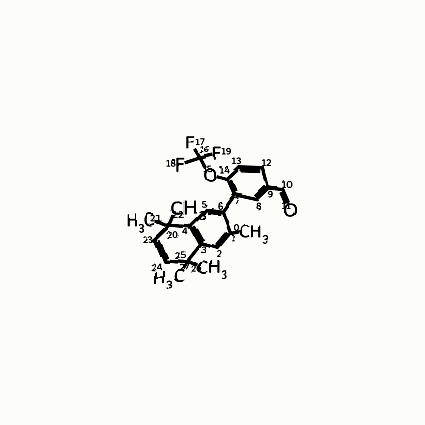 Cc1cc2c(cc1-c1cc(C=O)ccc1OC(F)(F)F)C(C)(C)C=CC2(C)C